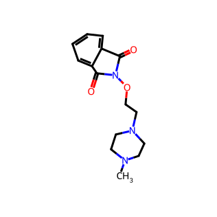 CN1CCN(CCON2C(=O)c3ccccc3C2=O)CC1